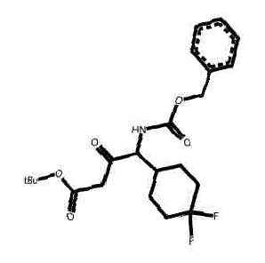 CC(C)(C)OC(=O)CC(=O)C(NC(=O)OCc1ccccc1)C1CCC(F)(F)CC1